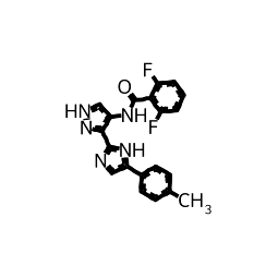 Cc1ccc(-c2cnc(-c3n[nH]cc3NC(=O)c3c(F)cccc3F)[nH]2)cc1